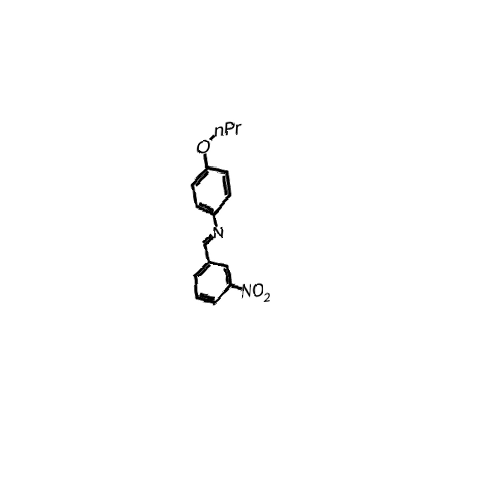 CCCOc1ccc(N=Cc2cccc([N+](=O)[O-])c2)cc1